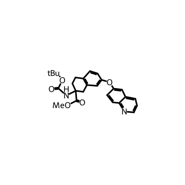 COC(=O)C1(NC(=O)OC(C)(C)C)CCc2ccc(Oc3ccc4ncccc4c3)cc2C1